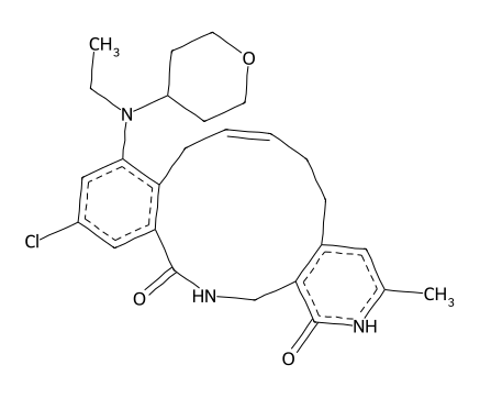 CCN(c1cc(Cl)cc2c1CC=CCCc1cc(C)[nH]c(=O)c1CNC2=O)C1CCOCC1